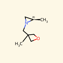 C[C@@H]1CN1CC1(C)COC1